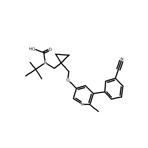 Cc1ncc(OCC2(CN(C(=O)O)C(C)(C)C)CC2)cc1-c1cccc(C#N)c1